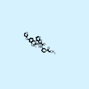 C=CC(=O)N1CCC[C@@H](NC(=O)C2Sc3nccc4c3C2NC(=O)N4c2ccc(O[C@@H]3CCOC3)cc2C)C1